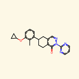 Cc1c(OC2CC2)cccc1C1CCc2c(cnn(-c3ncccn3)c2=O)C1